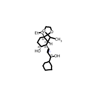 CCO[C@]12CC[C@@H](O)[C@H](/C=C/[C@@H](O)C3CCCCC3)[C@H]1C(C)C21OCCO1